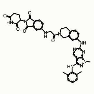 Cc1cccc(C)c1Nc1nn(C)c2nc(Nc3ccc4c(c3)CN(C(=O)CNc3ccc5c(c3)C(=O)N(C3CCC(=O)NC3=O)C5=O)CC4)ncc12